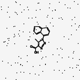 Cc1c(C(=O)O)nnn1-c1cccc2ccccc12